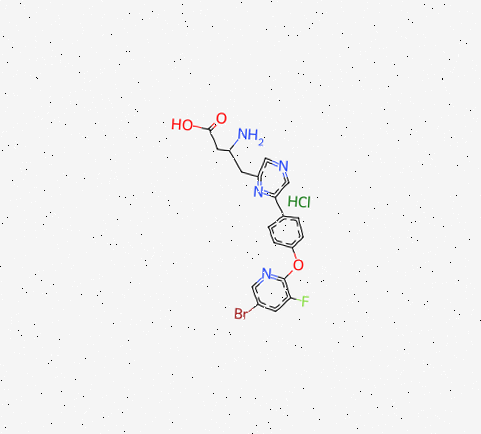 Cl.NC(CC(=O)O)Cc1cncc(-c2ccc(Oc3ncc(Br)cc3F)cc2)n1